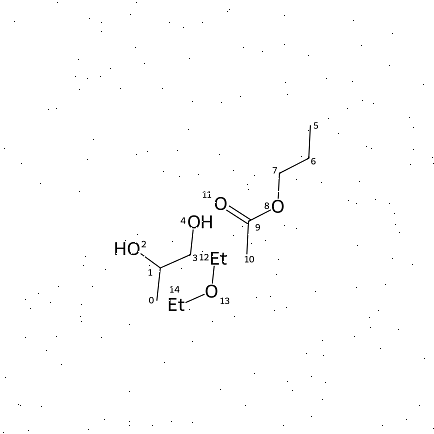 CC(O)CO.CCCOC(C)=O.CCOCC